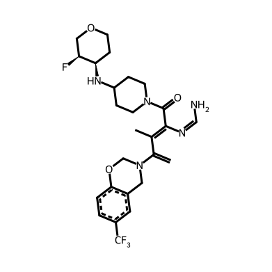 C=C(/C(C)=C(\N=C/N)C(=O)N1CCC(N[C@@H]2CCOC[C@@H]2F)CC1)N1COc2ccc(C(F)(F)F)cc2C1